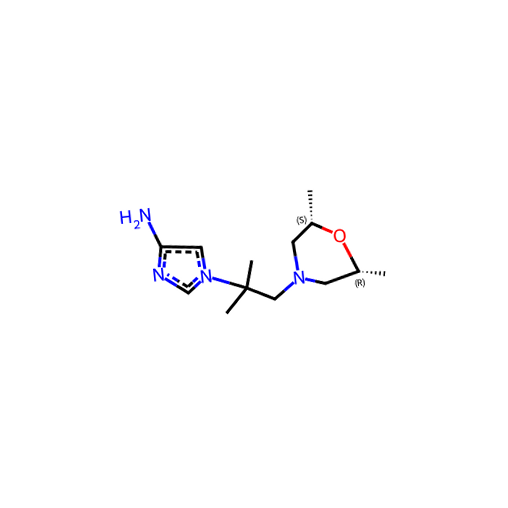 C[C@@H]1CN(CC(C)(C)n2cnc(N)c2)C[C@H](C)O1